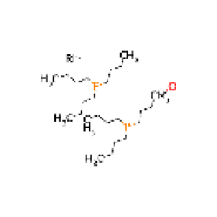 CCCCP(CCCC)CCCC.CCCCP(CCCC)CCCC.[C]=O.[Rh]